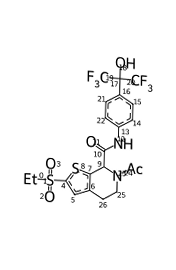 CCS(=O)(=O)c1cc2c(s1)C(C(=O)Nc1ccc(C(O)(C(F)(F)F)C(F)(F)F)cc1)N(C(C)=O)CC2